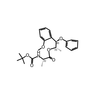 COc1ccccc1[C@@H](Oc1ccccc1)[C@H](C)OC(=O)[C@H](C)NC(=O)OC(C)(C)C